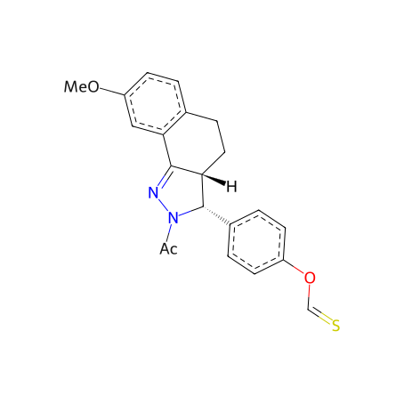 COc1ccc2c(c1)C1=NN(C(C)=O)[C@@H](c3ccc(OC=S)cc3)[C@H]1CC2